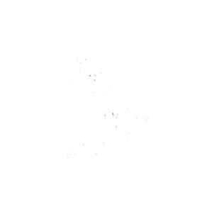 O=C(NC(CC1CCN(C(=O)O)CC1)C1CC1)c1ccc(Br)cc1